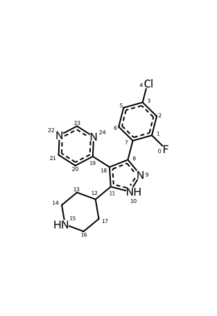 Fc1cc(Cl)ccc1-c1n[nH]c(C2CCNCC2)c1-c1ccncn1